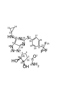 NC(=O)[C@H]1C[C@@H](n2nnc3c(NC4CC4)nc(Sc4ccc(C(F)(F)F)cc4)nc32)[C@H](O)[C@@H]1O